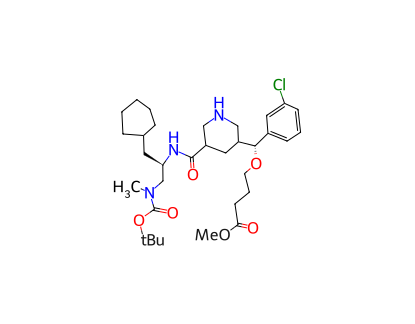 COC(=O)CCCO[C@@H](c1cccc(Cl)c1)C1CNCC(C(=O)N[C@H](CC2CCCCC2)CN(C)C(=O)OC(C)(C)C)C1